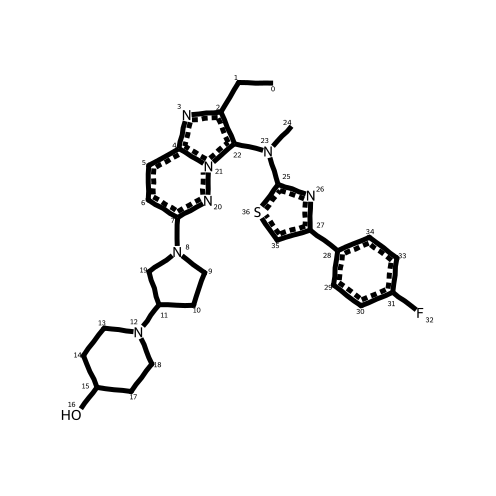 CCc1nc2ccc(N3CCC(N4CCC(O)CC4)C3)nn2c1N(C)c1nc(-c2ccc(F)cc2)cs1